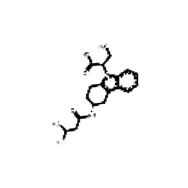 CCC(C(=O)O)n1c2c(c3ccccc31)C[C@H](NC(=O)CC(C)C)CC2